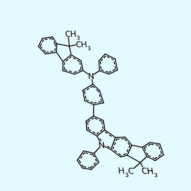 CC1(C)c2ccccc2-c2ccc(N(c3ccccc3)c3ccc(-c4ccc5c(c4)c4cc6c(cc4n5-c4ccccc4)C(C)(C)c4ccccc4-6)cc3)cc21